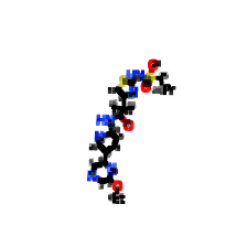 CCOc1cncc(-c2ccc(NC(=O)C(C)(C)c3csc(NS(=O)(=O)CC(C)C)n3)nc2)n1